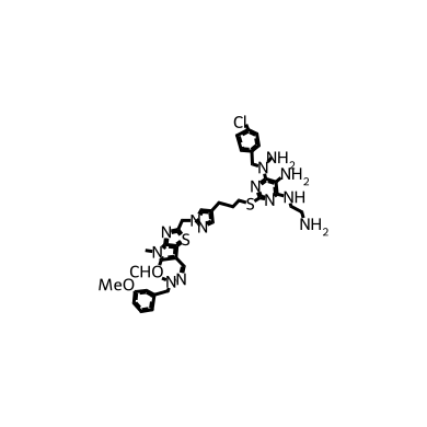 COc1cccc(CN(C)/N=C\c2c(C=O)n(C)c3nc(Cn4cc(CCCSc5nc(NCCN)c(N)c(N(N)Cc6ccc(Cl)cc6)n5)cn4)sc23)c1